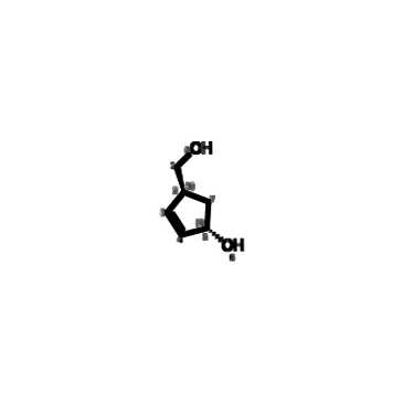 OC[C@@H]1C=C[C@@H](O)C1